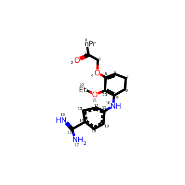 CCCC(=O)COC1=CC[CH]C(Nc2ccc(C(=N)N)cc2)=C1OCC